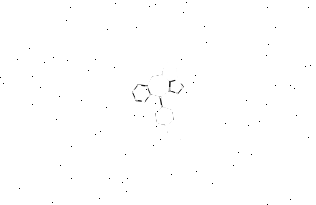 CC1Cc2ccccc2C(=C2CCN(C)CC2)c2ccsc21